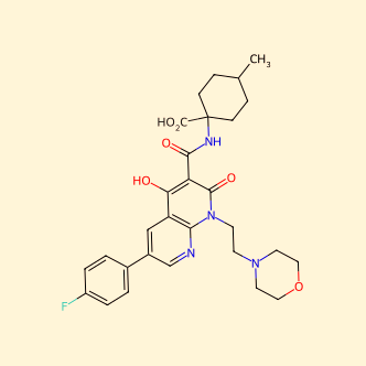 CC1CCC(NC(=O)c2c(O)c3cc(-c4ccc(F)cc4)cnc3n(CCN3CCOCC3)c2=O)(C(=O)O)CC1